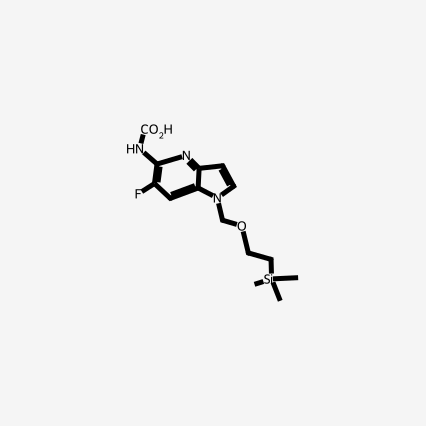 C[Si](C)(C)CCOCn1ccc2nc(NC(=O)O)c(F)cc21